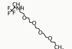 C=C(NCCOCCOCCOCCOCCC)C(F)(F)F